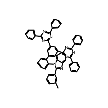 Cc1cccc(-c2nc3ccccc3n2-c2ccccc2-c2cc(-c3nc(-c4ccccc4)nc(-c4ccccc4)n3)cc(-c3nc(-c4ccccc4)nc(-c4ccccc4)n3)c2)c1